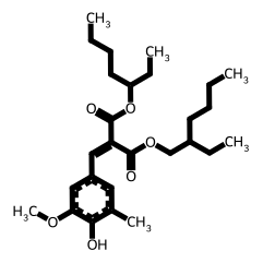 CCCCC(CC)COC(=O)/C(=C\c1cc(C)c(O)c(OC)c1)C(=O)OC(CC)CCCC